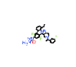 CCc1cccc(CC)c1-n1nc2c(c1-c1cc(F)c(NC(N)=O)cc1F)CN(C(C)c1cccc(F)c1)CC2